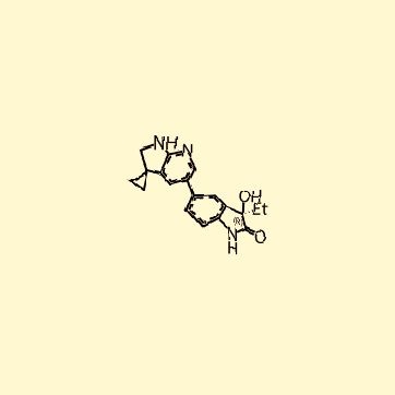 CC[C@]1(O)C(=O)Nc2ccc(-c3cnc4c(c3)C3(CC3)CN4)cc21